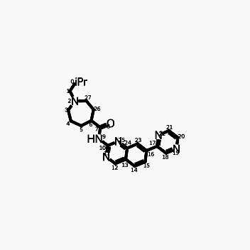 CC(C)CN1CCCC(C(=O)Nc2ncc3ccc(-c4cnccn4)cc3n2)CC1